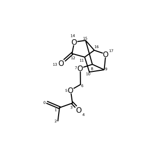 C=C(C)C(=O)OCOC1C2CC3C(=O)OC1C3O2